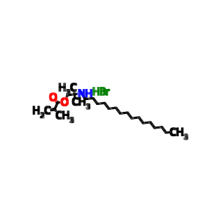 Br.C=C(C)C(=O)OCC(C)(C)NCCCCCCCCCCCCCCCC